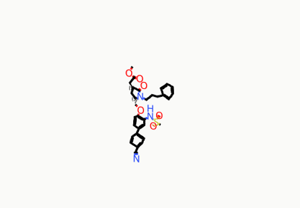 COC(=O)C[C@@H]1C[C@@H](COc2ccc(-c3ccc(C#N)cc3)cc2NS(C)(=O)=O)N(CCCc2ccccc2)C1=O